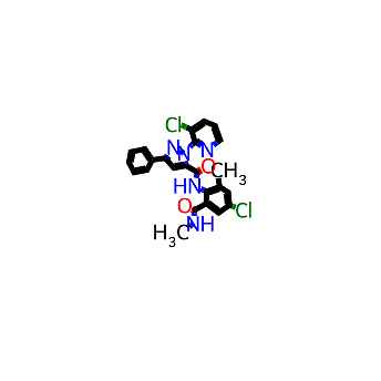 CNC(=O)c1cc(Cl)cc(C)c1NC(=O)c1cc(-c2ccccc2)nn1-c1ncccc1Cl